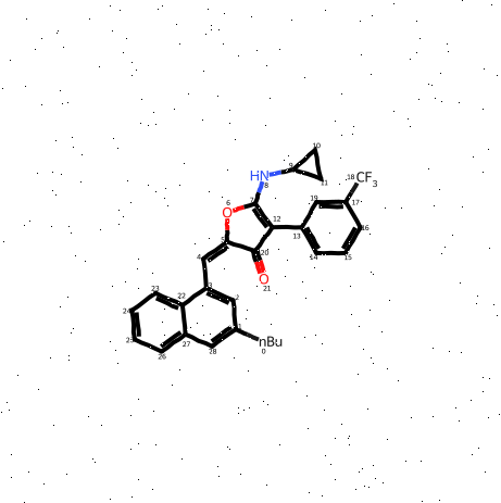 CCCCc1cc(C=C2OC(NC3CC3)=C(c3cccc(C(F)(F)F)c3)C2=O)c2ccccc2c1